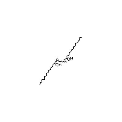 CCCCCCCCCCCCCCC(O)CN(C)CCCN(C)CC(O)CCCCCCCCCCCCCC